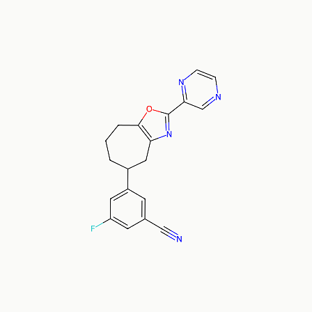 N#Cc1cc(F)cc(C2CCCc3oc(-c4cnccn4)nc3C2)c1